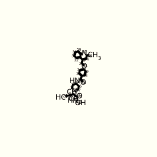 C#CC(C)(C)C(C(=O)NO)N1CCC(NC(=O)c2ccc(OCc3cc(C)nc4ccccc34)cc2)CC1